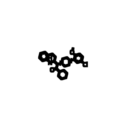 COc1ccc(Cl)cc1N1CCN(C(C(=O)C2CCCCC2)C2CCc3ccccc3N2)CC1